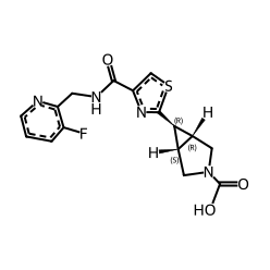 O=C(NCc1ncccc1F)c1csc([C@H]2[C@@H]3CN(C(=O)O)C[C@@H]32)n1